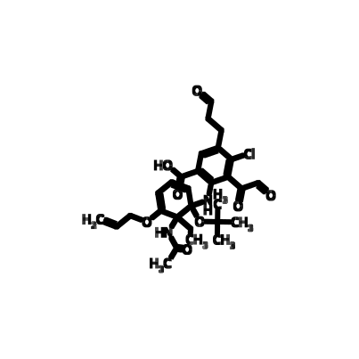 C=CCOC1=CC=CC(Nc2c(C(=O)O)cc(CCC=O)c(Cl)c2C(=O)C=O)(OC(C)(C)C)C1(CC)NC(C)=O